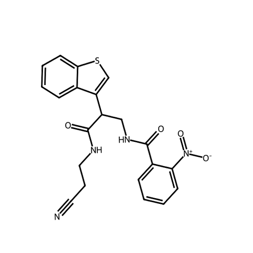 N#CCCNC(=O)C(CNC(=O)c1ccccc1[N+](=O)[O-])c1csc2ccccc12